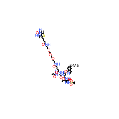 C=CC(=O)NC[C@H](NC(=O)CCCC(=O)NCCCOCCOCCOCCCNC(=O)CCCC[C@@H]1SC[C@@H]2NC(=O)N[C@@H]21)C(=O)N1C[C@H](Oc2nccc3cc(OC)ccc23)C[C@H]1C(=O)N[C@]1(C(=O)NS(=O)(=O)C2CC2)CC1C=C